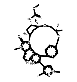 COC(=O)N[C@H]1C[C@H]2C[C@@H]1OC[C@@H](C)Oc1ccc(cc1)-c1c(-c3cn(C)nc3F)[nH]c3ncc4c(c13)n2c(=O)n4C